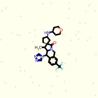 CC1C2C(n3cnnc3)c3ccc(C(F)(F)F)cc3CN2C(=O)[C@]12CC[C@@H](NC1CCOCC1)C2